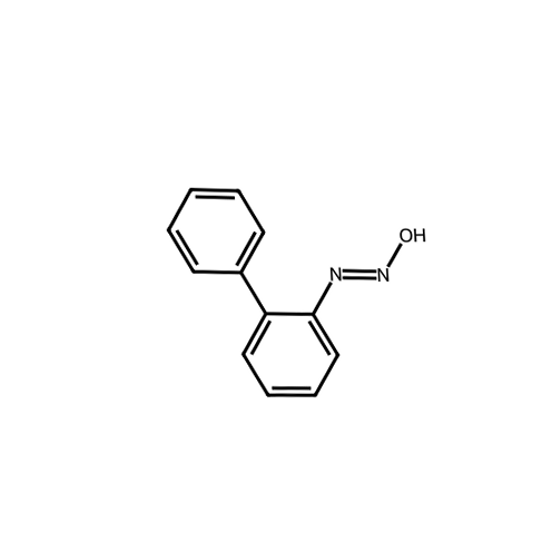 ON=Nc1ccccc1-c1ccccc1